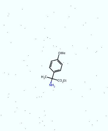 CCOC(=O)C(C)(N)c1ccc(OC)cc1